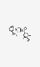 CCN(C)c1cccnc1N1CCN(C(=O)c2cc(C)c(OC)c(C)c2)CC1